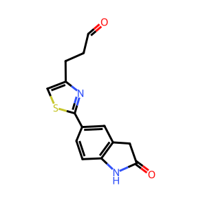 O=CCCc1csc(-c2ccc3c(c2)CC(=O)N3)n1